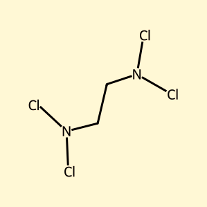 ClN(Cl)CCN(Cl)Cl